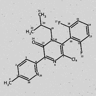 Cc1ccc(-c2nc(Cl)c(-c3c(F)cccc3F)n(CC(C)C)c2=O)nc1